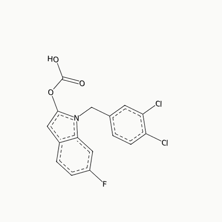 O=C(O)Oc1cc2ccc(F)cc2n1Cc1ccc(Cl)c(Cl)c1